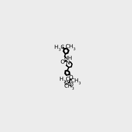 COC(=O)C(C)(C)Oc1cccc(C2CCCN(C(=O)NCc3ccc(C)c(C)c3)C2)c1